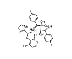 CC(Oc1c(Cl)cccc1Cl)C1=NCCN1.Cc1ccc(C(=O)C(O)(C(=O)O)C(O)(C(=O)O)C(=O)c2ccc(C)cc2)cc1